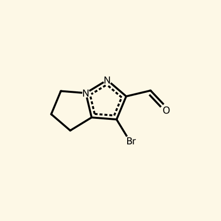 O=Cc1nn2c(c1Br)CCC2